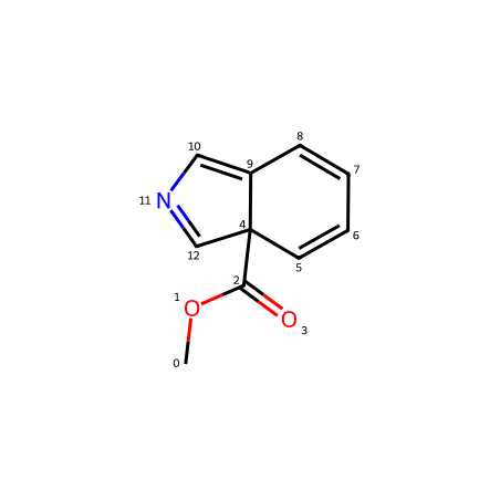 COC(=O)C12C=CC=CC1=CN=C2